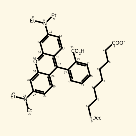 CCCCCCCCCCCCCCCCCC(=O)[O-].CCN(CC)c1ccc2c(-c3ccccc3C(=O)O)c3ccc(N(CC)CC)cc3[o+]c2c1